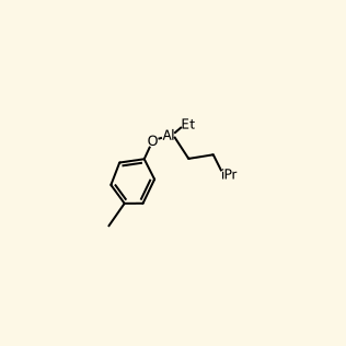 C[CH2][Al]([CH2]CC(C)C)[O]c1ccc(C)cc1